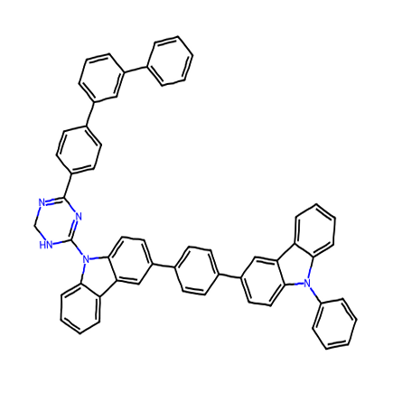 c1ccc(-c2cccc(-c3ccc(C4=NCNC(n5c6ccccc6c6cc(-c7ccc(-c8ccc9c(c8)c8ccccc8n9-c8ccccc8)cc7)ccc65)=N4)cc3)c2)cc1